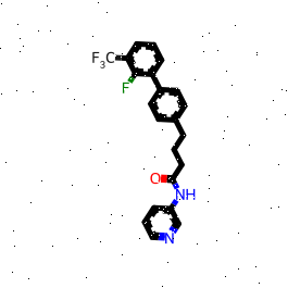 O=C(CCCc1ccc(-c2cccc(C(F)(F)F)c2F)cc1)Nc1cccnc1